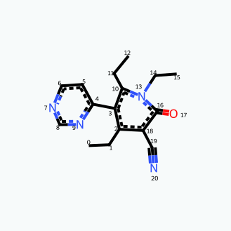 CCc1c(-c2ccncn2)c(CC)n(CC)c(=O)c1C#N